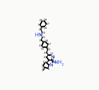 Cc1ccc2c(c1)nc(N)c1ncc(CCc3ccc(CCNCCc4ccccc4)cc3)cc12